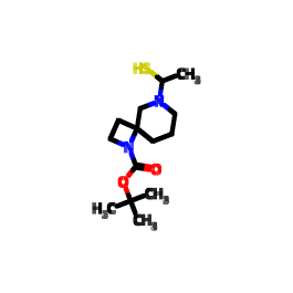 CC(S)N1CCCC2(CCN2C(=O)OC(C)(C)C)C1